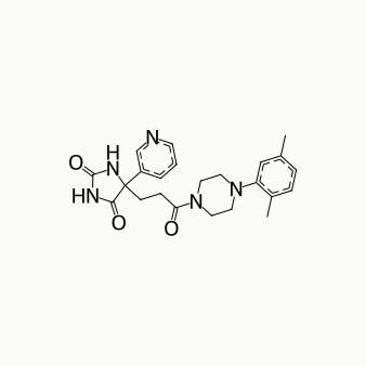 Cc1ccc(C)c(N2CCN(C(=O)CCC3(c4cccnc4)NC(=O)NC3=O)CC2)c1